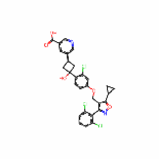 O=C(O)c1cncc(C2CC(O)(c3ccc(OCc4c(-c5c(Cl)cccc5Cl)noc4C4CC4)cc3Cl)C2)c1